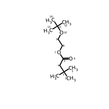 CC(C)(C)CC(=O)OCCOC(C)(C)C